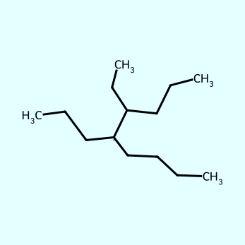 CCCC[C](CCC)C(CC)CCC